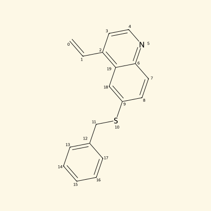 C=Cc1ccnc2ccc(SCc3ccccc3)cc12